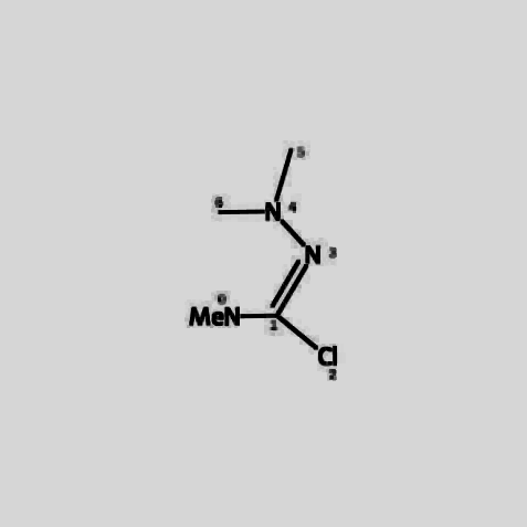 CN/C(Cl)=N\N(C)C